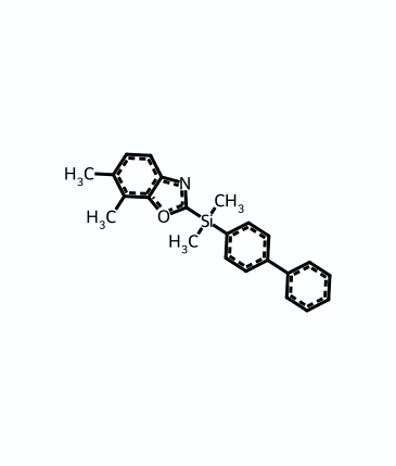 Cc1ccc2nc([Si](C)(C)c3ccc(-c4ccccc4)cc3)oc2c1C